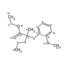 CCCC(C)(Cc1ccccc1OC)C(=O)OCC